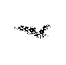 CCc1cc(Nc2ncc(Br)c(Nc3ccc(-c4ccc(C)nn4)cc3P(C)(C)=O)n2)c(OC)cc1N1CCC(N2CCN(C)CC2)CC1